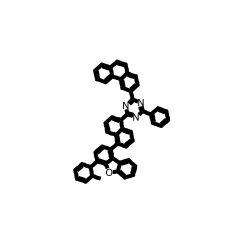 CC1C=CC=CC1c1ccc(-c2cccc3c(-c4nc(-c5ccccc5)nc(-c5ccc6ccc7ccccc7c6c5)n4)cccc23)c2c1oc1ccccc12